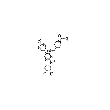 COc1ncc(-c2cnc(Nc3ccc(F)c(Cl)c3)nc2NCC2CCN(C(=O)C3CC3)CC2)cn1